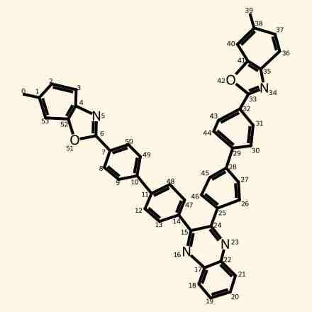 Cc1ccc2nc(-c3ccc(-c4ccc(-c5nc6ccccc6nc5-c5ccc(-c6ccc(-c7nc8ccc(C)cc8o7)cc6)cc5)cc4)cc3)oc2c1